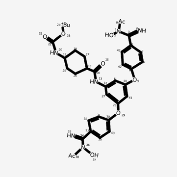 CC(=O)N(O)C(=N)c1ccc(Oc2cc(NC(=O)C3CCC(NC(=O)OC(C)(C)C)CC3)cc(Oc3ccc(C(=N)N(O)C(C)=O)cc3)c2)cc1